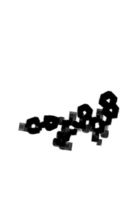 NC(=O)[C@H](Cc1ccc2ccccc2c1)NC(=O)[C@@H]1CCCCN1C(=O)[C@H](CSCP(=O)(O)O)NC(=O)Cc1ccc(N2CCNCC2)cc1